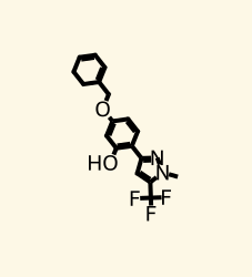 Cn1nc(-c2ccc(OCC3=CC=CCC3)cc2O)cc1C(F)(F)F